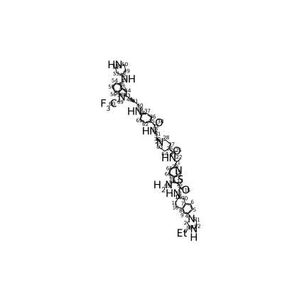 CC[C@@H]1CN(c2ccc3c(c2)CC[C@H](NC(=O)c2sc4nc(C(C)NC(=O)C5CCN(CCNC(=O)c6ccc(NCC#Cc7cc8c(NC9CCNCC9)cccc8n7CC(F)(F)F)cc6)CC5)ccc4c2N)C3)CCN1